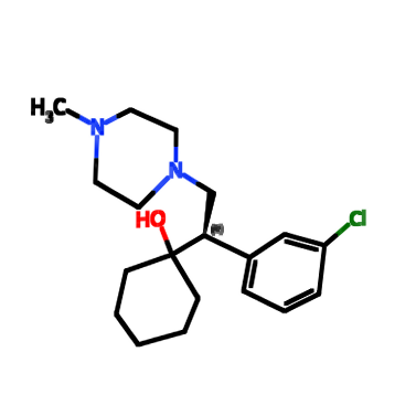 CN1CCN(C[C@@H](c2cccc(Cl)c2)C2(O)CCCCC2)CC1